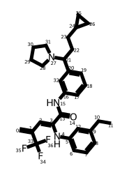 C=C(/C=C(\Nc1cccc(CC)c1)C(=O)Nc1cccc(C(CCC2CC2)N2CCCC2)c1)C(F)(F)F